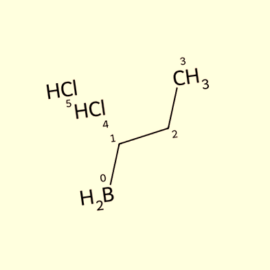 BCCC.Cl.Cl